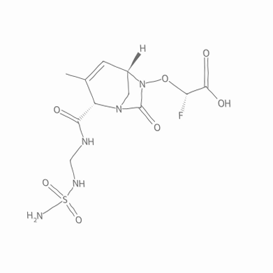 CC1=C[C@H]2CN(C(=O)N2O[C@@H](F)C(=O)O)[C@@H]1C(=O)NCNS(N)(=O)=O